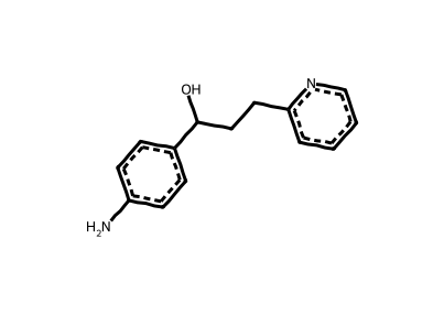 Nc1ccc(C(O)CCc2ccccn2)cc1